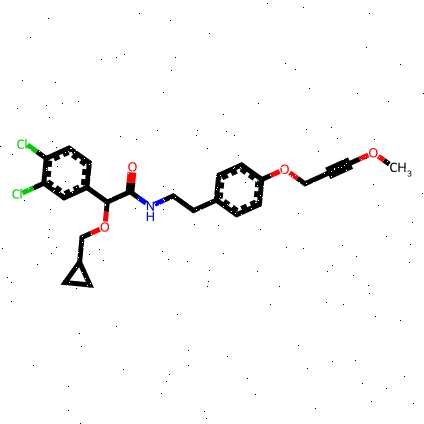 COC#CCOc1ccc(CCNC(=O)C(OCC2CC2)c2ccc(Cl)c(Cl)c2)cc1